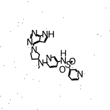 CN(c1ccc(NS(=O)(=O)c2cccnc2)cn1)[C@@H]1CCN(c2ncnc3[nH]ccc23)C1